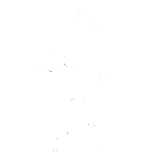 CC(NCCn1nc2c(c1C(=O)O)CN(C(=O)c1ccc(Cl)c(C#N)c1)[C@H](C)C2)c1c[nH]nn1